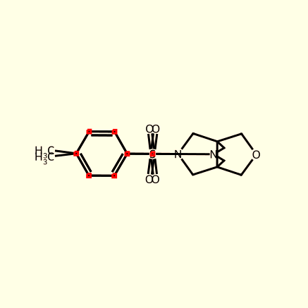 Cc1ccc(S(=O)(=O)N2CC34COCC3(C2)CN(S(=O)(=O)c2ccc(C)cc2)C4)cc1